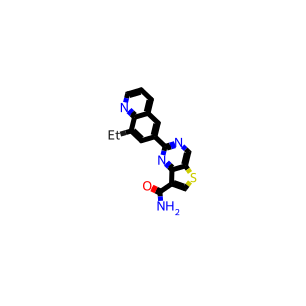 CCc1cc(-c2ncc3scc(C(N)=O)c3n2)cc2cccnc12